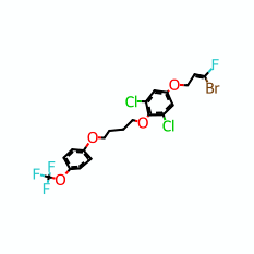 FC(Br)=CCOc1cc(Cl)c(OCCCCOc2ccc(OC(F)(F)F)cc2)c(Cl)c1